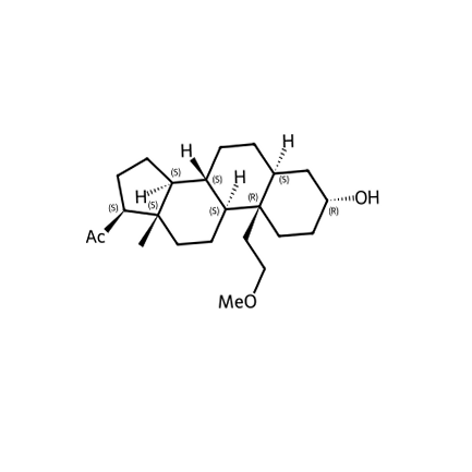 COCC[C@]12CC[C@@H](O)C[C@@H]1CC[C@H]1[C@@H]3CC[C@H](C(C)=O)[C@@]3(C)CC[C@@H]12